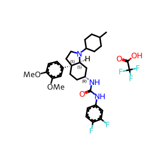 COc1ccc([C@@]23CC[C@@H](NC(=O)Nc4ccc(F)c(F)c4)C[C@@H]2N(C2CCC(C)CC2)CC3)cc1OC.O=C(O)C(F)(F)F